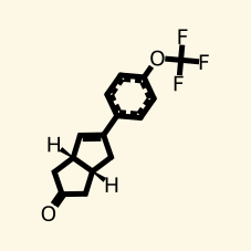 O=C1C[C@H]2CC(c3ccc(OC(F)(F)F)cc3)=C[C@H]2C1